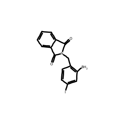 Bc1cc(I)ccc1CN1C(=O)c2ccccc2C1=O